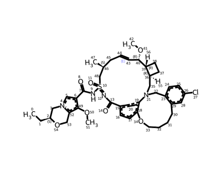 CC[C@H]1Cn2cc(C(=O)NS3(=O)=NC(=O)c4ccc5c(c4)N(Cc4ccc(Cl)cc4CCCCO5)C[C@@H]4CC[C@H]4[C@@H](OC)/C=C/C[C@H](C)C3)c(OC)c2CO1